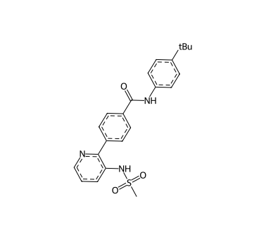 CC(C)(C)c1ccc(NC(=O)c2ccc(-c3ncccc3NS(C)(=O)=O)cc2)cc1